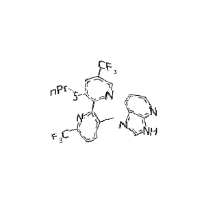 CCCSc1cc(C(F)(F)F)cnc1-c1nc(C(F)(F)F)ccc1C.c1cnc2[nH]cnc2c1